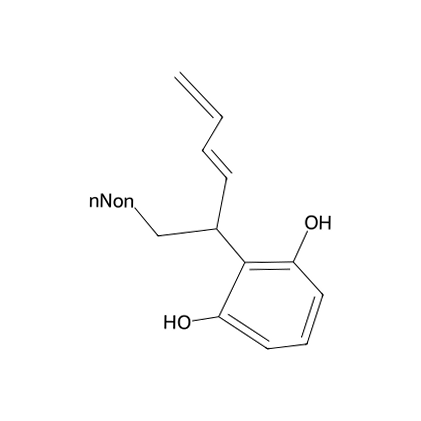 C=CC=CC(CCCCCCCCCC)c1c(O)cccc1O